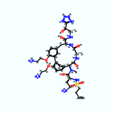 CNCCS(=O)(=O)N[C@@H](CCN)C(=O)N(C)[C@@H]1C(=O)N[C@@H](C)C(=O)N[C@H](C(=O)N[C@@H](C)C(=O)c2nnn[nH]2)Cc2ccc(OCCN)c(c2)-c2cc1ccc2OCCN